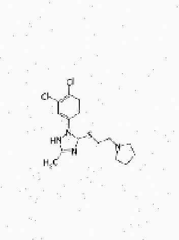 CC1=NC(SCCN2CCCC2)N(c2ccc(Cl)c(Cl)c2)N1